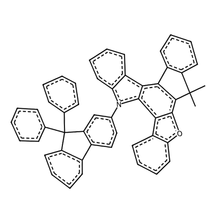 CC1(C)c2ccccc2-c2c1c1oc3ccccc3c1c1c2c2ccccc2n1-c1ccc2c(c1)C(c1ccccc1)(c1ccccc1)c1ccccc1-2